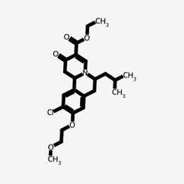 CCOC(=O)C1=CN2C(CC(C)C)Cc3cc(OCCOC)c(Cl)cc3C2CC1=O